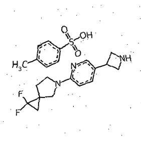 Cc1ccc(S(=O)(=O)O)cc1.FC1(F)CC12CCN(c1ccc(C3CNC3)cn1)C2